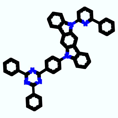 c1ccc(-c2cccc(-n3c4ccccc4c4cc5c(cc43)c3ccccc3n5-c3ccc(-c4nc(-c5ccccc5)nc(-c5ccccc5)n4)cc3)n2)cc1